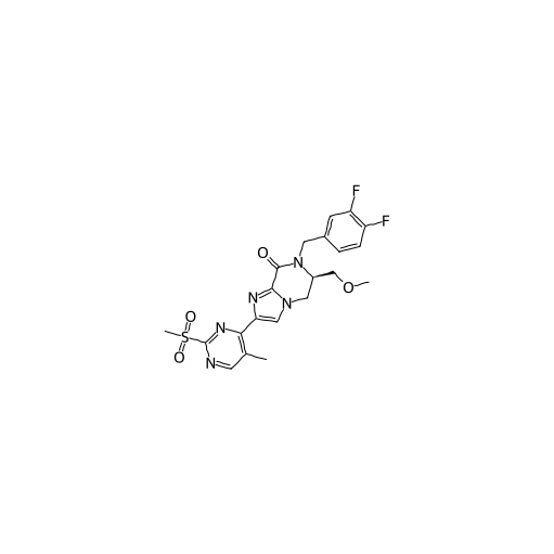 COC[C@H]1Cn2cc(-c3nc(S(C)(=O)=O)ncc3C)nc2C(=O)N1Cc1ccc(F)c(F)c1